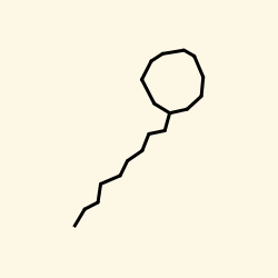 CCCCCCCCCC1CCCCCCCCC1